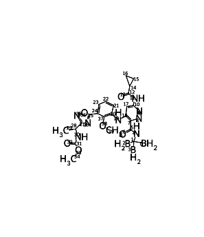 BC(B)(B)NC(=O)c1nnc(NC(=O)C2CC2)cc1Nc1cccc(-c2nc([C@H](C)NC(=O)OC)no2)c1OC